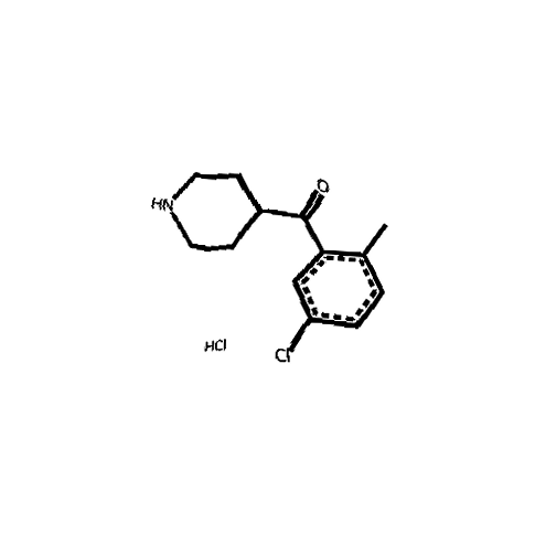 Cc1ccc(Cl)cc1C(=O)C1CCNCC1.Cl